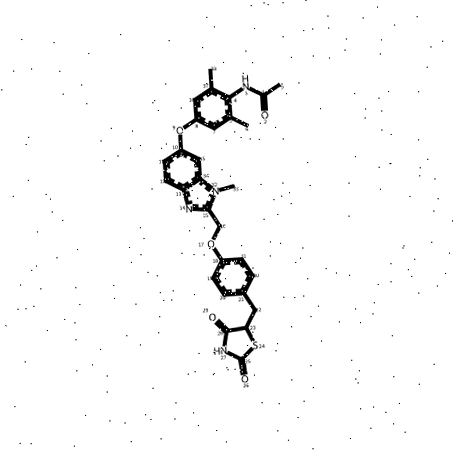 CC(=O)Nc1c(C)cc(Oc2ccc3nc(COc4ccc(CC5SC(=O)NC5=O)cc4)n(C)c3c2)cc1C